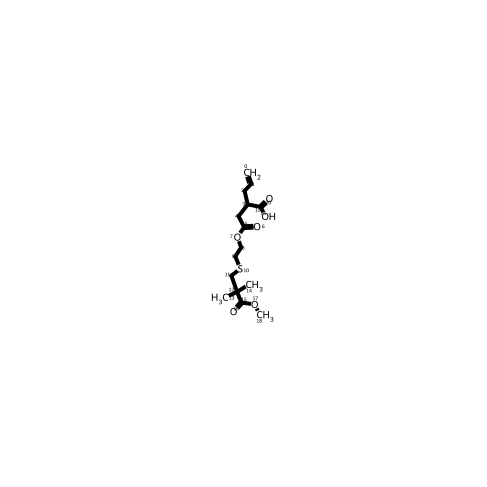 C=CCC(CC(=O)OCCSCC(C)(C)C(=O)OC)C(=O)O